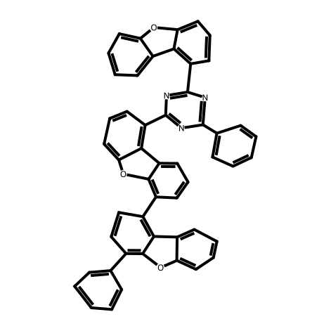 c1ccc(-c2nc(-c3cccc4oc5ccccc5c34)nc(-c3cccc4oc5c(-c6ccc(-c7ccccc7)c7oc8ccccc8c67)cccc5c34)n2)cc1